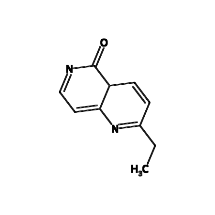 CCC1=NC2=CC=NC(=O)C2C=C1